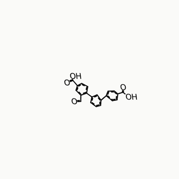 O=Cc1cc(C(=O)O)ccc1-c1cccc(-c2ccc(C(=O)O)cc2)c1